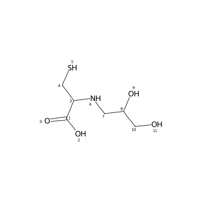 O=C(O)C(CS)NCC(O)CO